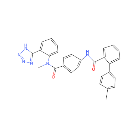 Cc1ccc(-c2ccccc2C(=O)Nc2ccc(C(=O)N(C)c3ccccc3-c3nnn[nH]3)cc2)cc1